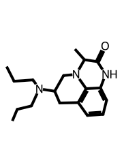 CCCN(CCC)C1Cc2cccc3c2N(C1)C(C)C(=O)N3